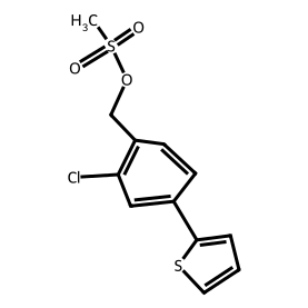 CS(=O)(=O)OCc1ccc(-c2cccs2)cc1Cl